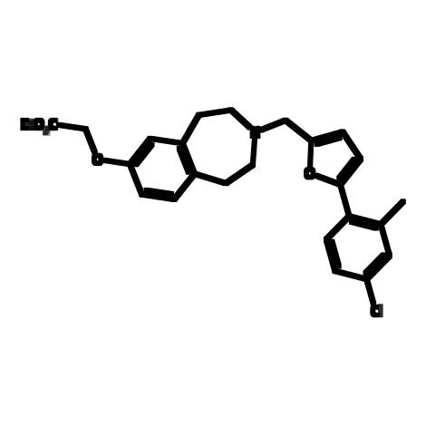 CCOC(=O)COc1ccc2c(c1)CCN(Cc1ccc(-c3ccc(Cl)cc3C)o1)CC2